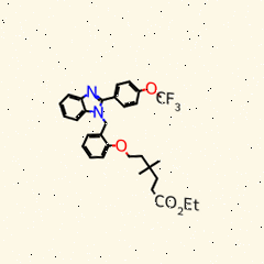 CCOC(=O)CCC(C)(C)CCOc1ccccc1Cn1c(-c2ccc(OC(F)(F)F)cc2)nc2ccccc21